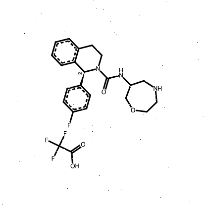 O=C(NC1CNCCOC1)N1CCc2ccccc2[C@@H]1c1ccc(F)cc1.O=C(O)C(F)(F)F